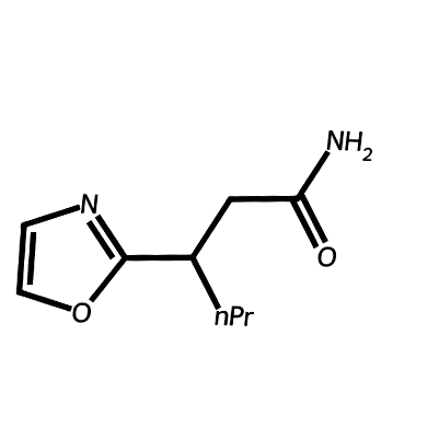 CCCC(CC(N)=O)c1ncco1